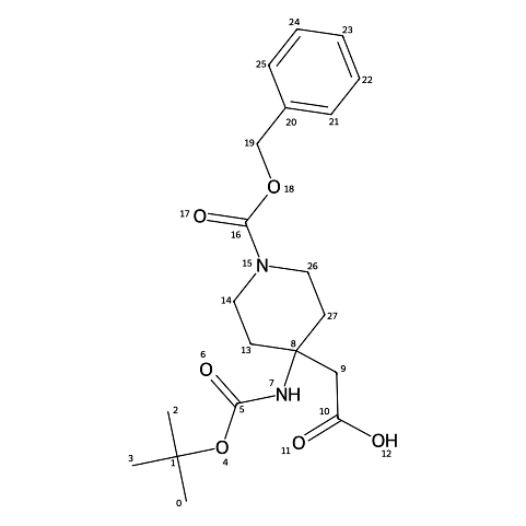 CC(C)(C)OC(=O)NC1(CC(=O)O)CCN(C(=O)OCc2ccccc2)CC1